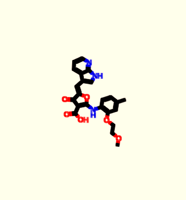 COCCOc1cc(C)ccc1NC1=C(C(=O)O)C(=O)/C(=C/c2c[nH]c3ncccc23)O1